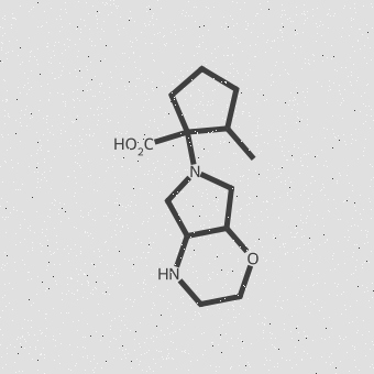 CC1CCCC1(C(=O)O)N1CC2NCCOC2C1